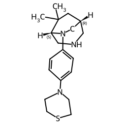 CC1(C)C[C@@H]2CNC[C@H]1N(c1ccc(N3CCSCC3)cc1)C2